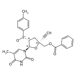 C#C[C@@]1(COC(=O)c2ccccc2)C[C@@H]([S+]([O-])c2ccc(C)cc2)[C@H](n2cc(C)c(=O)[nH]c2=O)O1